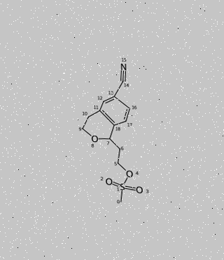 CS(=O)(=O)OCCC1OCCc2cc(C#N)ccc21